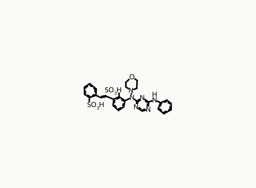 O=S(=O)(O)c1ccccc1C=Cc1cccc(N(c2ncnc(Nc3ccccc3)n2)N2CCOCC2)c1S(=O)(=O)O